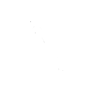 CCCCCC[C@H]1CC[C@H]([C@H]2CC[C@H](C#Cc3ccc(CCC)c(F)c3)CC2)CC1